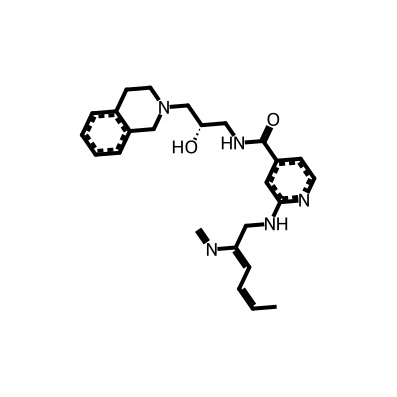 C=N/C(=C\C=C/C)CNc1cc(C(=O)NC[C@H](O)CN2CCc3ccccc3C2)ccn1